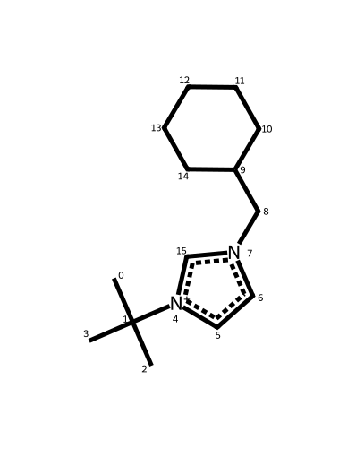 CC(C)(C)[n+]1ccn(CC2CCCCC2)c1